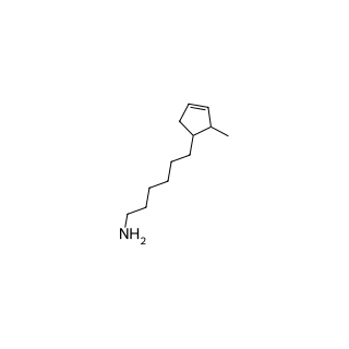 CC1C=CCC1CCCCCCN